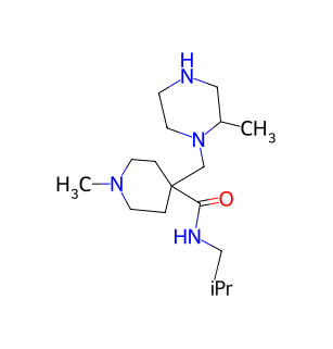 CC(C)CNC(=O)C1(CN2CCNCC2C)CCN(C)CC1